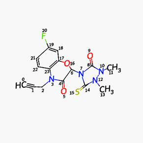 C#CCN1C(=O)C(n2c(=O)n(C)n(C)c2=S)Oc2cc(F)[c]cc21